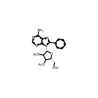 CC(=O)OC[C@H]1O[C@@H](n2c(-c3ccccc3)nc3c(N)ncnc32)C(OC(C)=O)C1OC(C)=O